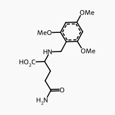 COc1cc(OC)c(CNC(CCC(N)=O)C(=O)O)c(OC)c1